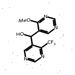 COc1ncncc1C(O)c1cncnc1C(F)(F)F